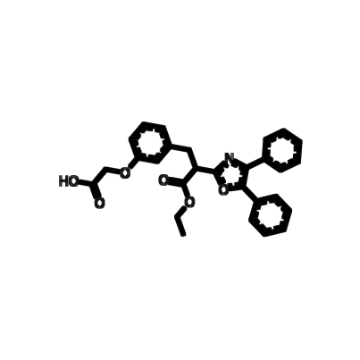 CCOC(=O)C(Cc1cccc(OCC(=O)O)c1)c1nc(-c2ccccc2)c(-c2ccccc2)o1